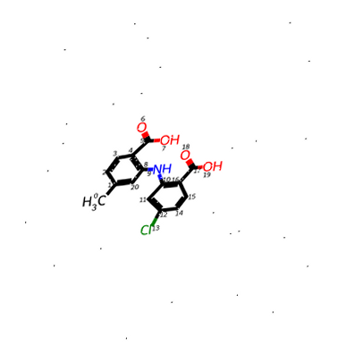 Cc1ccc(C(=O)O)c(Nc2cc(Cl)ccc2C(=O)O)c1